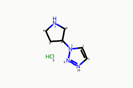 Cl.c1cn(C2CCNC2)nn1